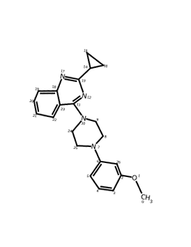 COc1cccc(N2CCN(c3nc(C4CC4)nc4ccccc34)CC2)c1